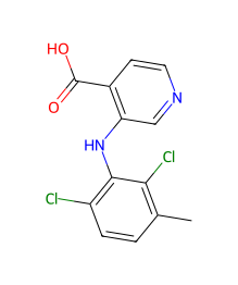 Cc1ccc(Cl)c(Nc2cnccc2C(=O)O)c1Cl